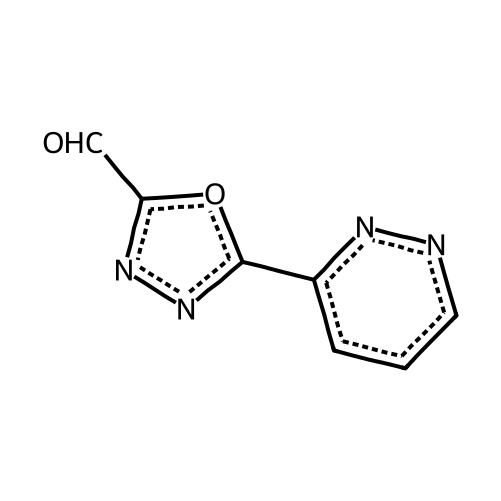 O=Cc1nnc(-c2cccnn2)o1